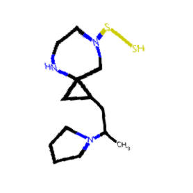 CC(CC1CC12CN(SS)CCN2)N1CCCC1